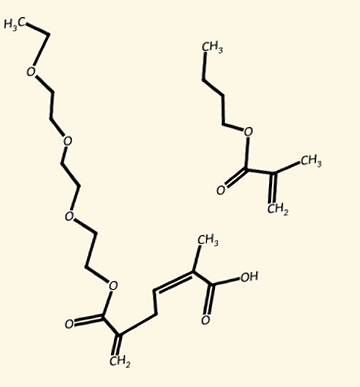 C=C(C)C(=O)OCCCC.C=C(CC=C(C)C(=O)O)C(=O)OCCOCCOCCOCC